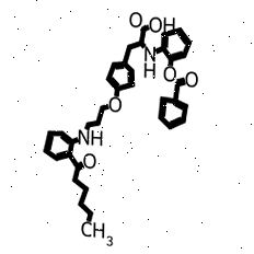 CCCCCC(=O)c1ccccc1NCCCOc1ccc(CC(Nc2ccccc2OC(=O)c2ccccc2)C(=O)O)cc1